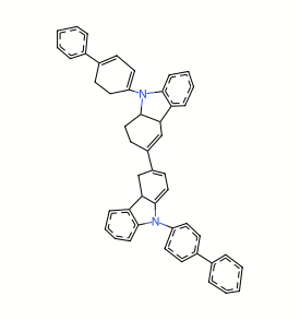 C1=C(C2=CC=C3C(C2)c2ccccc2N3c2ccc(-c3ccccc3)cc2)CCC2C1c1ccccc1N2C1=CC=C(c2ccccc2)CC1